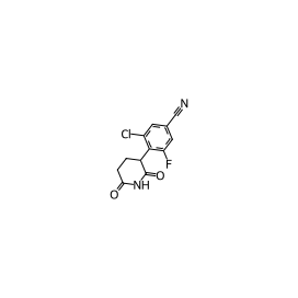 N#Cc1cc(F)c(C2CCC(=O)NC2=O)c(Cl)c1